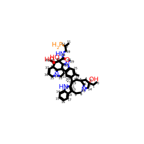 CCC1(O)CC2C[N@](CCc3c([nH]c4ccccc34)[C@@](C)(c3cc4c(cc3C)N(C)C3[C@]45CCN4CC=C[C@](CC)(C45)[C@@H](O)[C@]3(O)C(=O)NCC(C)P)C2)C1